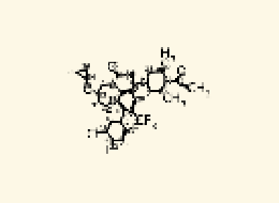 C=CC(=O)N1[C@H](C)CN(c2nc(=O)n3c4c(c(C5CC(Cl)C(F)C=C5F)c(C(F)(F)F)cc24)SC[C@@H](OC2CC2)C3)C[C@@H]1C